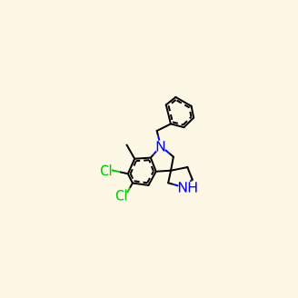 Cc1c(Cl)c(Cl)cc2c1N(Cc1ccccc1)CC21CCNC1